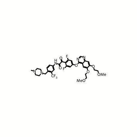 COCCOc1cc2ncnc(Oc3cc(F)c(C(=O)C(=O)Nc4ccc(CN5CCN(C)CC5)c(C(F)(F)F)c4)c(F)c3)c2cc1OCCOC